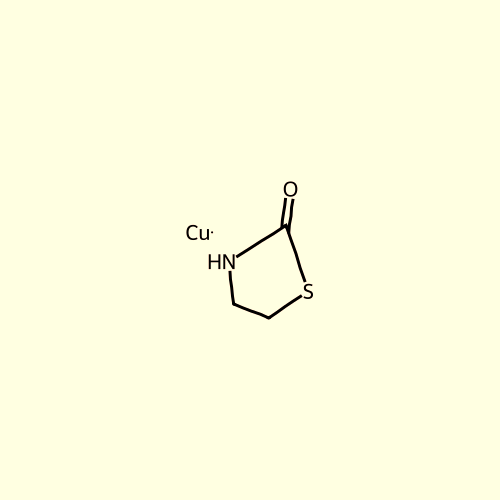 O=C1NCCS1.[Cu]